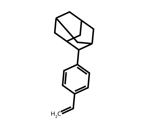 C=Cc1ccc(C2C3CC4CC(C3)CC2C4)cc1